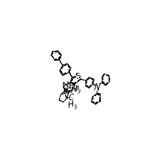 CC12CCC(c3nc4c(-c5ccc(-c6ccccc6)cc5)sc(-c5ccc(N(c6ccccc6)c6ccccc6)cc5)c4nc31)C2(C)C